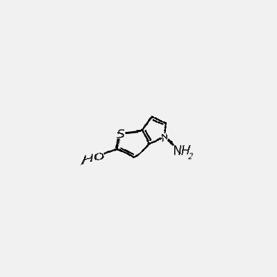 Nn1ccc2sc(O)cc21